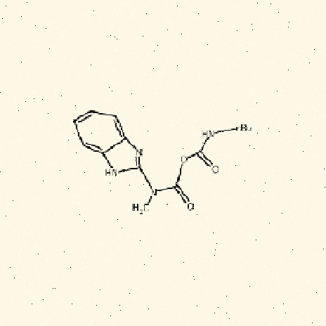 CCCCNC(=O)OC(=O)N(C)c1nc2ccccc2[nH]1